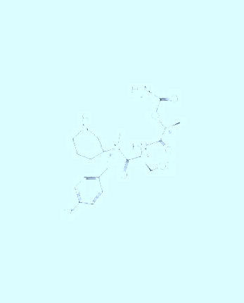 C[C@H](OC(N)=O)C(=O)N[C@@H](CO)C(=O)N(C)[C@@]1(Cc2ccc(Cl)cc2)CCCNC1